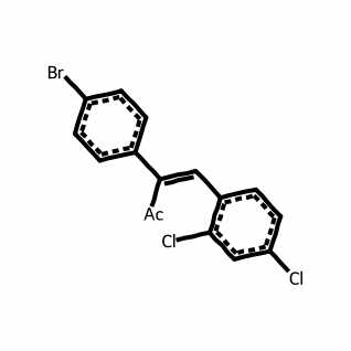 CC(=O)C(=Cc1ccc(Cl)cc1Cl)c1ccc(Br)cc1